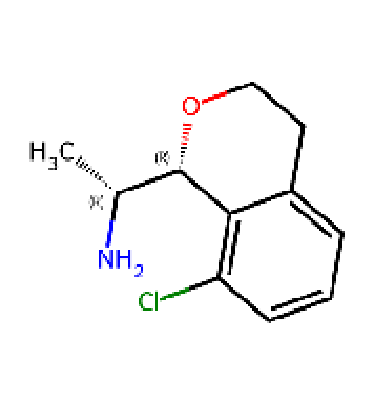 C[C@@H](N)[C@@H]1OCCc2cccc(Cl)c21